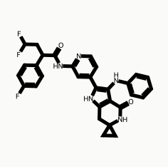 O=C1NC2(CC2)Cc2[nH]c(-c3ccnc(NC(=O)C(CC(F)F)c4ccc(F)cc4)c3)c(Nc3ccccc3)c21